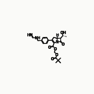 C[C@@H](O)[C@H]1C(=O)N2C(C(=O)OCOC(=O)C(C)(C)C)=C(c3ccc(CNC=N)cc3)C[C@H]12